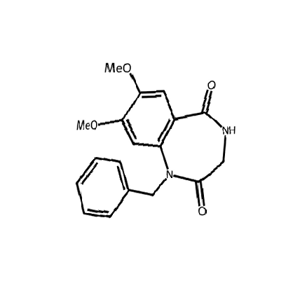 COc1cc2c(cc1OC)N(Cc1ccccc1)C(=O)CNC2=O